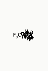 CCS(=O)(=O)c1cc(C(F)(F)F)ccc1-c1ncc(C(=O)N2CC(F)(F)C(F)(F)C2)n1C